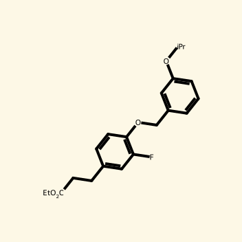 CCOC(=O)CCc1ccc(OCc2cccc(OC(C)C)c2)c(F)c1